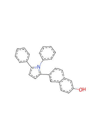 Oc1ccc2cc(-c3ccc(-c4ccccc4)n3-c3ccccc3)ccc2c1